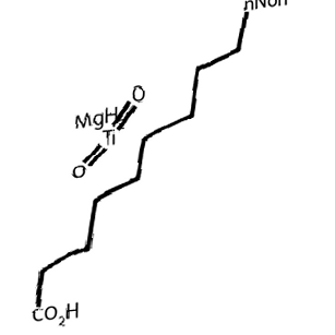 CCCCCCCCCCCCCCCCCC(=O)O.[MgH2].[O]=[Ti]=[O]